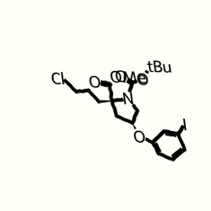 COC(=O)[C@@]1(CCCCl)C[C@@H](Oc2cccc(I)c2)CN1C(=O)OC(C)(C)C